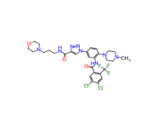 CN1CCN(c2ccc(-n3cc(C(=O)NCCCN4CCOCC4)nn3)cc2NC(=O)c2cc(Cl)c(Cl)cc2C(F)(F)F)CC1